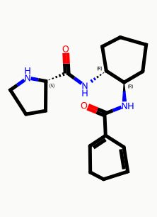 O=C(N[C@@H]1CCCC[C@H]1NC(=O)[C@@H]1CCCN1)C1=CCCC=C1